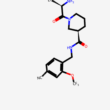 CC[C@@H](N)C(=O)N1CCC[C@@H](C(=O)NCc2ccc(C#N)cc2OC(F)(F)F)C1